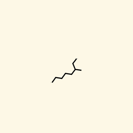 [CH2]CCCCC(C)C[CH2]